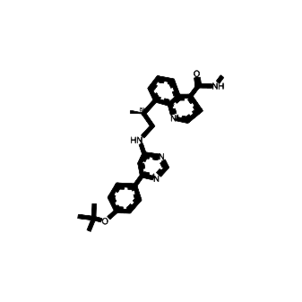 CNC(=O)c1ccnc2c([C@H](C)CNc3cc(-c4ccc(OC(C)(C)C)cc4)ncn3)cccc12